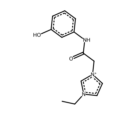 CCn1cc[n+](CC(=O)Nc2cccc(O)c2)c1